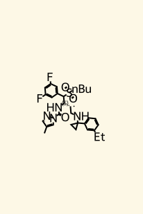 CCCCS(=O)(=O)C(c1cc(F)cc(F)c1)[C@H]([CH]CNC1(c2cccc(CC)c2)CC1)NC(=O)n1cc(C)cn1